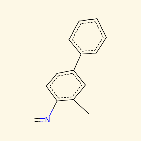 C=Nc1ccc(-c2ccccc2)cc1C